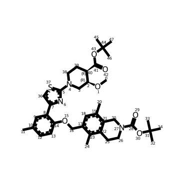 CO[C@H]1CN(c2nc(-c3cc(C)ccc3OCc3cc(C)c4c(c3C)CCN(C(=O)OC(C)(C)C)C4)cs2)CC[C@H]1C(=O)OC(C)(C)C